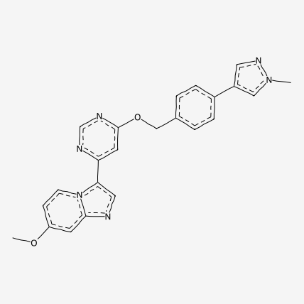 COc1ccn2c(-c3cc(OCc4ccc(-c5cnn(C)c5)cc4)ncn3)cnc2c1